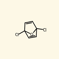 ClC12C=CC(Cl)(C=C1)O2